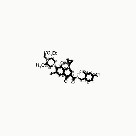 CCOC(=O)CN1CCN(c2c(F)cc3c(=O)c(C(=O)NCc4ccc(Cl)cc4Cl)cn(C4CC4)c3c2OC)CC1C